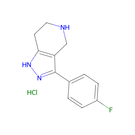 Cl.Fc1ccc(-c2n[nH]c3c2CNCC3)cc1